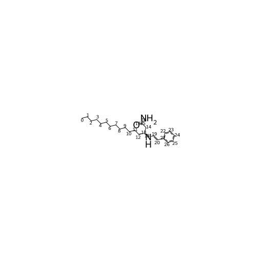 CCCCCCCCCCCCC[C@@H](CC(N)=O)NC=Cc1ccccc1